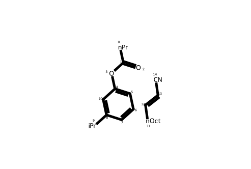 CCCC(=O)Oc1cccc(C(C)C)c1.CCCCCCCCC=CC#N